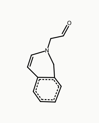 O=CCN1C=Cc2ccccc2C1